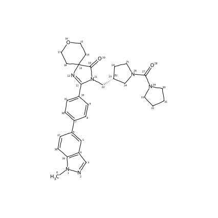 Cn1ncc2cc(-c3ccc(C4=NC5(CCOCC5)C(=O)N4C[C@@H]4CCN(C(=O)N5CCCC5)C4)cc3)ccc21